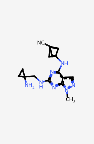 Cn1ncc2c(NC34CC(C#N)(C3)C4)nc(NCC3(N)CC3)nc21